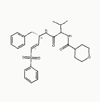 CC(C)C(NC(=O)N1CCOCC1)C(=O)N[C@H](/C=C/S(=O)(=O)c1ccccc1)Cc1ccccc1